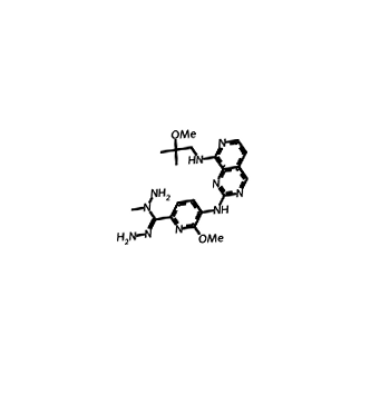 COc1nc(/C(=N/N)N(C)N)ccc1Nc1ncc2ccnc(NCC(C)(C)OC)c2n1